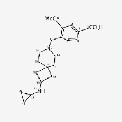 COc1cc(C(=O)O)ccc1CN1CCC2(CC1)CC(NC1CC1)C2